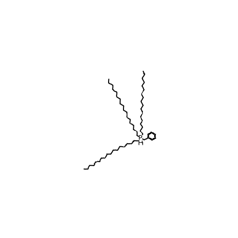 CCCCCCCCCCCCCCCCCC[PH](CCCCCCCCCCCCCCCCCC)(CCCCCCCCCCCCCCCCCC)Cc1ccccc1